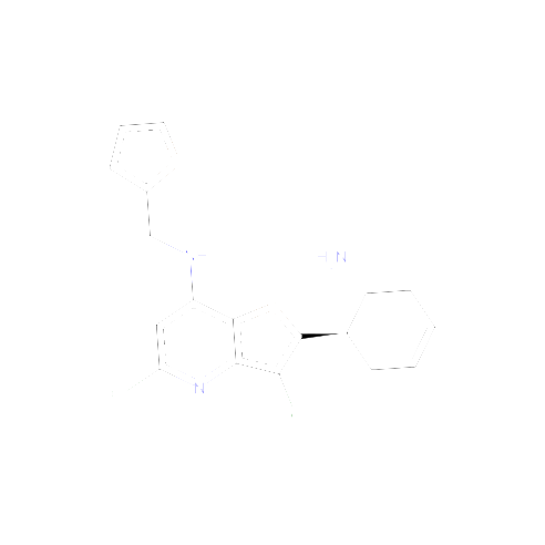 N[C@@H]1CC=CC[C@H]1c1sc2c(NCc3cccs3)cc(Cl)nc2c1Cl